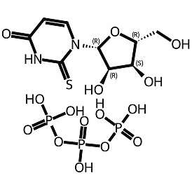 O=P(O)(O)OP(=O)(O)OP(=O)(O)O.O=c1ccn([C@@H]2O[C@H](CO)[C@@H](O)[C@H]2O)c(=S)[nH]1